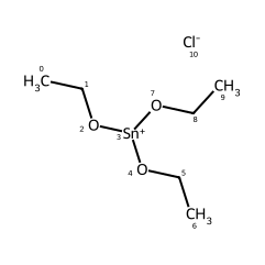 CC[O][Sn+]([O]CC)[O]CC.[Cl-]